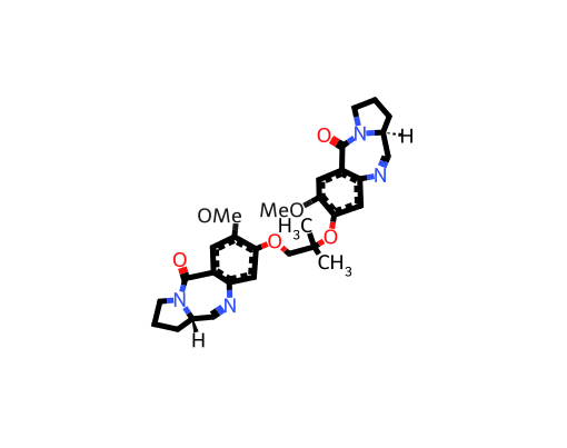 COc1cc2c(cc1OCC(C)(C)Oc1cc3c(cc1OC)C(=O)N1CCC[C@H]1C=N3)N=C[C@@H]1CCCN1C2=O